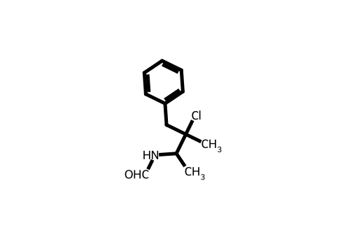 CC(NC=O)C(C)(Cl)Cc1ccccc1